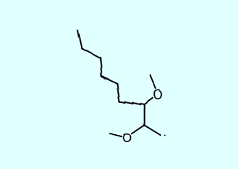 [CH2]C(OC)C(CCCCCC)OC